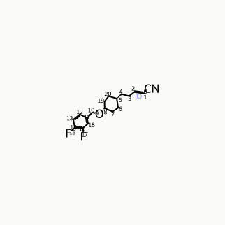 N#C/C=C/CC[C@H]1CC[C@H](OCc2ccc(F)c(F)c2)CC1